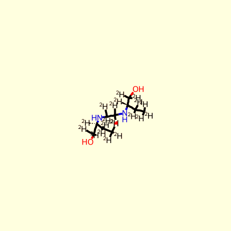 [2H]C([2H])([2H])C([2H])([2H])[C@]([2H])(NC([2H])([2H])C([2H])([2H])N[C@]([2H])(C([2H])([2H])O)C([2H])([2H])C([2H])([2H])[2H])C([2H])([2H])O